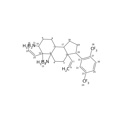 C=CC12CCC3(N)C(CCC(N)C3(C)/C=C\C)C1CCC2c1cc(C(F)(F)F)ccc1C(F)(F)F